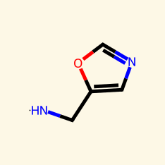 [NH]Cc1cnco1